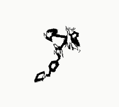 N/C(=C(/c1ccncc1)N(N)c1ccccc1F)c1nc(-c2ccc(CN3CCCC3)cc2)no1